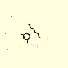 Cc1cccc(C)c1.N.N.O=C(O)CCCCC(=O)O